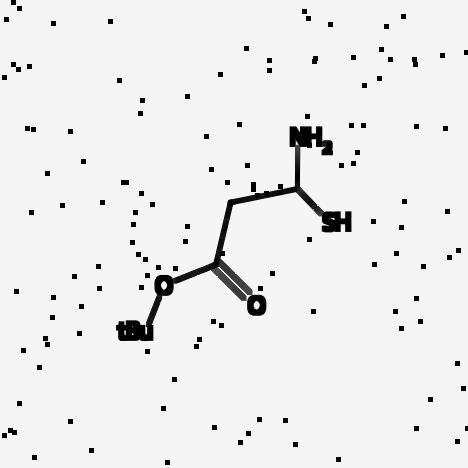 CC(C)(C)OC(=O)CC(N)S